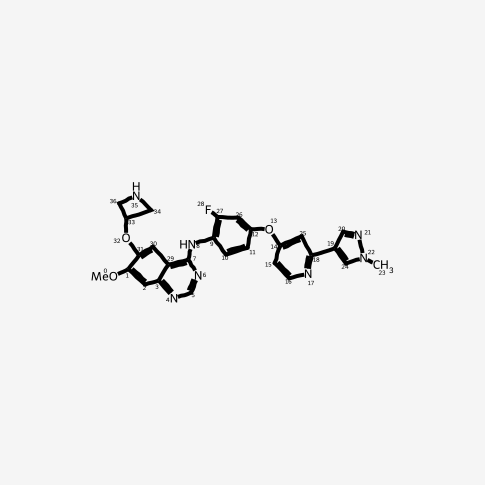 COc1cc2ncnc(Nc3ccc(Oc4ccnc(-c5cnn(C)c5)c4)cc3F)c2cc1OC1CNC1